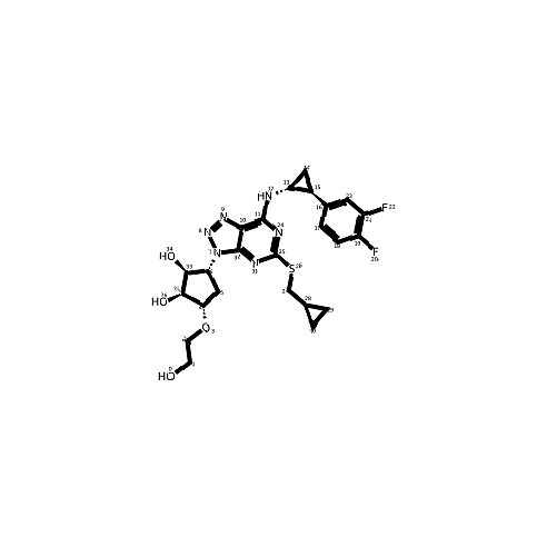 OCCO[C@H]1C[C@@H](n2nnc3c(N[C@@H]4C[C@H]4c4ccc(F)c(F)c4)nc(SCC4CC4)nc32)[C@H](O)[C@@H]1O